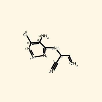 C=CC(C#N)Nc1nnnc(Cl)c1N